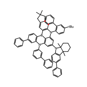 CC1(C)Cc2cc3c(cc2C1)N(c1ccc(C(C)(C)C)cc1-c1ccccc1)c1cc(N2c4ccc(-c5ccccc5)cc4C4(C)CCCCC24C)cc2c1B3c1ccc(-c3ccccc3)cc1N2c1cccc(-c2ccccc2)c1